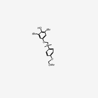 COCOc1ccc([Si](C)(C)COc2cc(C(C)(C)C)c(O)c(C(C)(C)C)c2)cc1